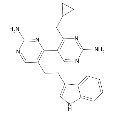 Nc1ncc(-c2nc(N)ncc2CCc2c[nH]c3ccccc23)c(CC2CC2)n1